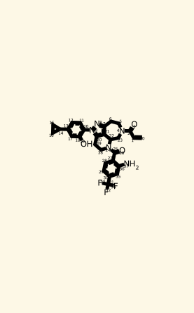 C=CC(=O)N1CCc2nn(-c3ccc(C4CC4)cc3O)c3c2C(C1)N(C(=O)c1ccc(C(F)(F)F)cc1N)CC3